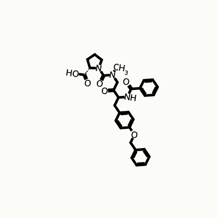 CN(CC(=O)C(Cc1ccc(OCc2ccccc2)cc1)NC(=O)c1ccccc1)C(=O)N1CCC[C@H]1C(=O)O